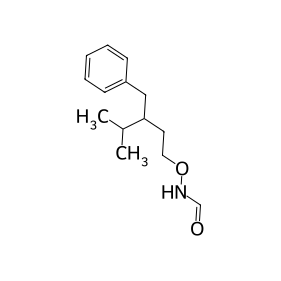 CC(C)C(CCONC=O)Cc1ccccc1